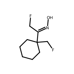 O/N=C(\CF)C1(CF)CCCCC1